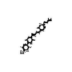 C=CCCC1CCC(CC/C=C/C2CCC(C3CCC(CC)CC3)CC2)CC1